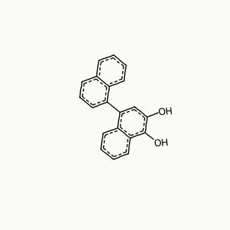 Oc1cc(-c2cccc3ccccc23)c2ccccc2c1O